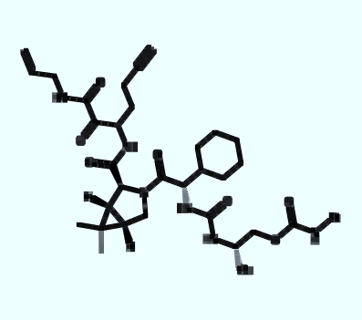 C#CCCC(NC(=O)[C@@H]1[C@@H]2[C@H](CN1C(=O)[C@@H](NC(=O)N[C@H](COC(=O)NCC)C(C)(C)C)C1CCCCC1)C2(C)C)C(=O)C(=O)NCC=C